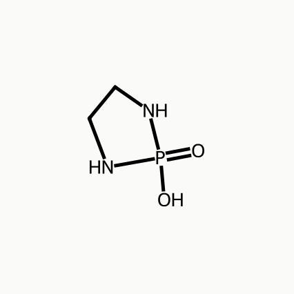 O=P1(O)NCCN1